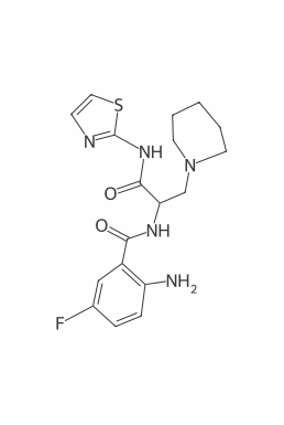 Nc1ccc(F)cc1C(=O)NC(CN1CCCCC1)C(=O)Nc1nccs1